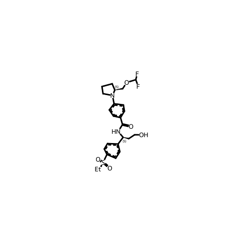 CCS(=O)(=O)c1ccc([C@H](CCO)NC(=O)c2ccc(N3CCC[C@H]3COC(F)F)cc2)cc1